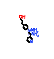 N/C(=C\N(N)c1ccc(CCCO)cc1)c1cccnc1